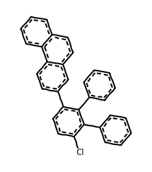 Clc1ccc(-c2ccc3c(ccc4ccccc43)c2)c(-c2ccccc2)c1-c1ccccc1